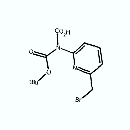 CC(C)(C)OC(=O)N(C(=O)O)c1cccc(CBr)n1